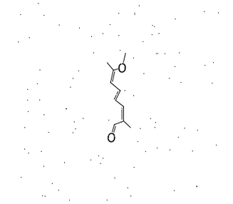 COC(C)=C/C=C/C=C(C)C=O